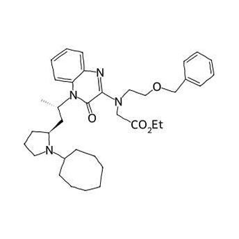 CCOC(=O)CN(CCOCc1ccccc1)c1nc2ccccc2n([C@@H](C)C[C@@H]2CCCN2C2CCCCCCC2)c1=O